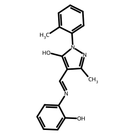 Cc1ccccc1-n1nc(C)c(/C=N/c2ccccc2O)c1O